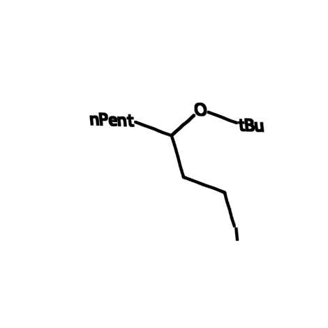 CCCCCC(CCI)OC(C)(C)C